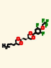 CCC[C@H]1CO[C@H](CC[C@H]2CO[C@H](c3cc(F)c(OCC(F)(F)F)c(F)c3)OC2)OC1